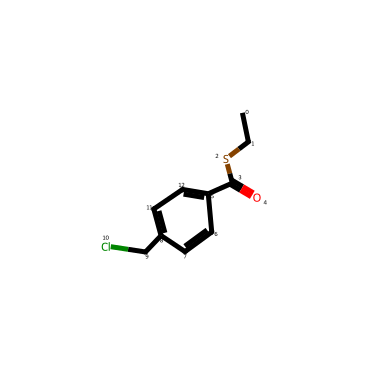 CCSC(=O)c1ccc(CCl)cc1